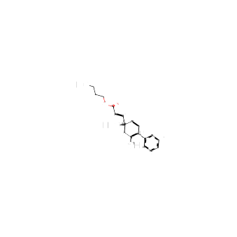 CCCCOC(=O)/C=C/C1(C)C=CC(c2ccccc2)=C(C)C1